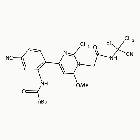 CCCCC(=O)Nc1cc(C#N)ccc1C1=CC(OC)N(CC(=O)NC(C)(C#N)CC)C(C)=N1